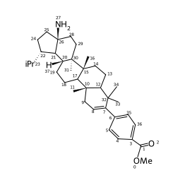 COC(=O)c1ccc(C2=CC[C@@]3(C)C(CC[C@]4(C)C3CC[C@@H]3C5[C@H](C(C)C)CC[C@]5(N)CC[C@]34C)C2(C)C)cc1